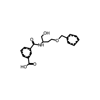 O=C(O)c1cccc(C(=O)NC(CO)CCOCc2ccccc2)c1